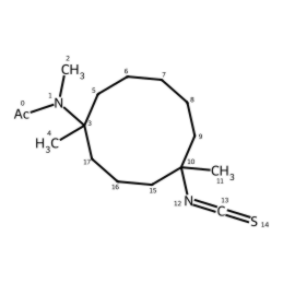 CC(=O)N(C)C1(C)CCCCCC(C)(N=C=S)CCC1